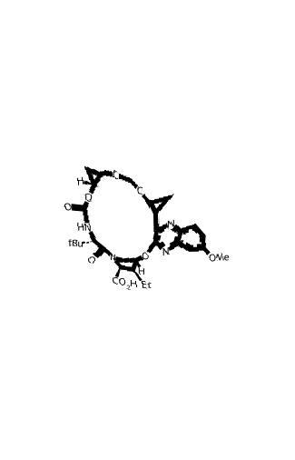 CC[C@@H]1[C@@H]2CN(C(=O)[C@H](C(C)(C)C)NC(=O)O[C@@H]3CC3CCCC3CC3c3nc4ccc(OC)cc4nc3O2)[C@@H]1C(=O)O